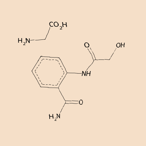 NC(=O)c1ccccc1NC(=O)CO.NCC(=O)O